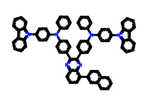 c1ccc(N(c2ccc(-c3nc4cccc(-c5ccc6ccccc6c5)c4nc3-c3ccc(N(c4ccccc4)c4ccc(-n5c6ccccc6c6ccccc65)cc4)cc3)cc2)c2ccc(-n3c4ccccc4c4ccccc43)cc2)cc1